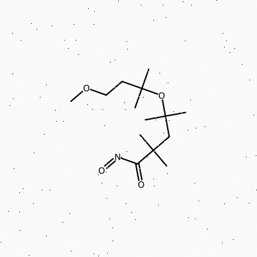 COCCC(C)(C)OC(C)(C)CC(C)(C)C(=O)N=O